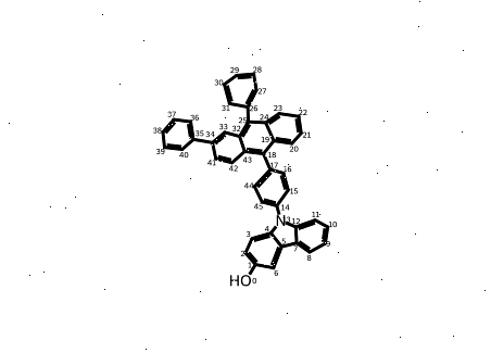 Oc1ccc2c(c1)c1ccccc1n2-c1ccc(-c2c3ccccc3c(-c3ccccc3)c3cc(-c4ccccc4)ccc23)cc1